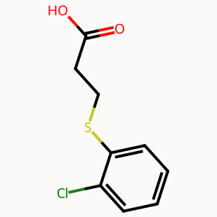 O=C(O)CCSc1ccccc1Cl